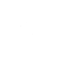 [Dy+3].[OH-].[OH-].[OH-]